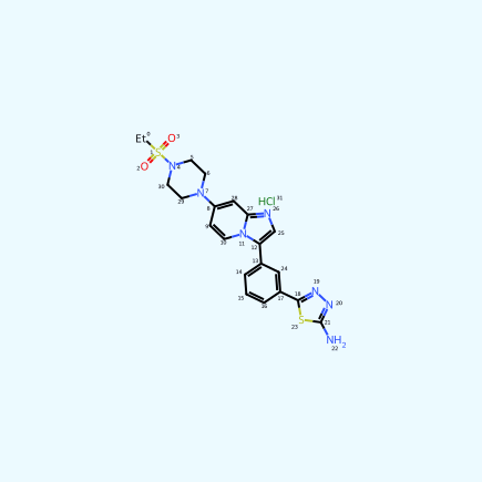 CCS(=O)(=O)N1CCN(c2ccn3c(-c4cccc(-c5nnc(N)s5)c4)cnc3c2)CC1.Cl